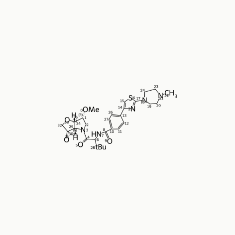 CO[C@@H]1CN(C(=O)C(NC(=O)c2ccc(-c3csc(N4CCN(C)CC4)n3)cc2)C(C)(C)C)[C@@H]2C(=O)CO[C@@H]21